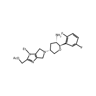 CCn1c(COC(C)=O)nc2c1CN([C@H]1CO[C@H](c3cc(F)ccc3F)[C@@H](N)C1)C2